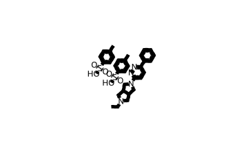 CCN1CC2CN(c3ccc(-c4ccccc4)nn3)CC2C1.Cc1ccc(S(=O)(=O)O)cc1.Cc1ccc(S(=O)(=O)O)cc1